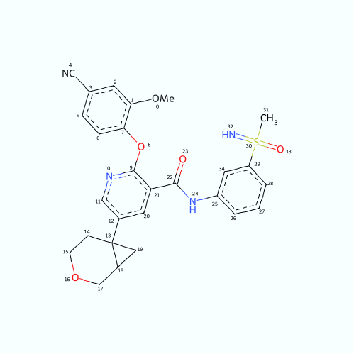 COc1cc(C#N)ccc1Oc1ncc(C23CCOCC2C3)cc1C(=O)Nc1cccc(S(C)(=N)=O)c1